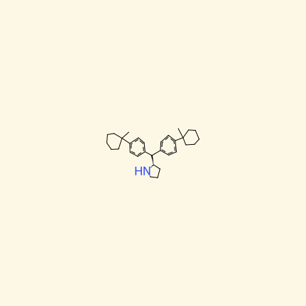 CC1(c2ccc(C(c3ccc(C4(C)CCCCC4)cc3)[C@H]3CCCN3)cc2)CCCCC1